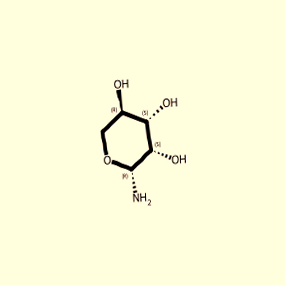 N[C@@H]1OC[C@@H](O)[C@H](O)[C@@H]1O